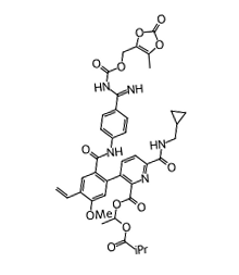 C=Cc1cc(C(=O)Nc2ccc(C(=N)NC(=O)OCc3oc(=O)oc3C)cc2)c(-c2ccc(C(=O)NCC3CC3)nc2C(=O)OC(C)OC(=O)C(C)C)cc1OC